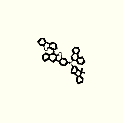 CC1(C)c2ccccc2-c2ccc(N(c3ccc4c(c3)oc3c(-c5cccc6c5oc5ccccc56)c5ccccc5cc34)c3cc4ccccc4c4ccccc34)cc21